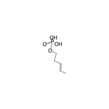 CC=CCCOP(=O)(O)O